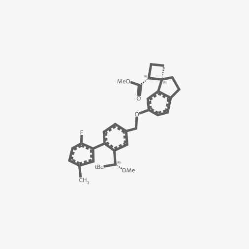 COC(=O)[C@@H]1CC[C@@]12CCc1ccc(OCc3ccc(-c4cc(C)ccc4F)c([C@H](OC)C(C)(C)C)c3)cc12